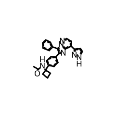 CC(=O)NC1(c2ccc(-c3nc4c(-c5cc[nH]n5)ccnn4c3-c3ccccc3)cc2)CCC1